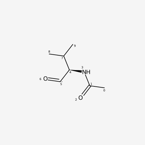 CC(=O)N[C@@H]([C]=O)C(C)C